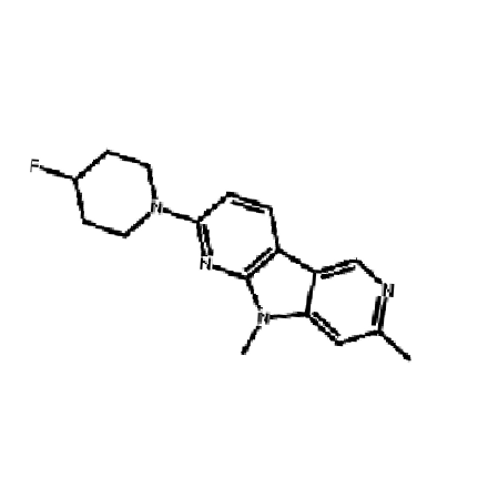 Cc1cc2c(cn1)c1ccc(N3CCC(F)CC3)nc1n2C